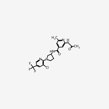 CC(=O)Nc1cc(C(=O)NC2CCN(c3ncc(C(F)(F)F)cc3Cl)C2)cc(C)n1